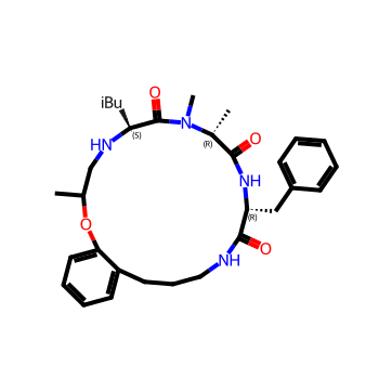 CCC(C)[C@@H]1NCC(C)Oc2ccccc2CCCNC(=O)[C@@H](Cc2ccccc2)NC(=O)[C@@H](C)N(C)C1=O